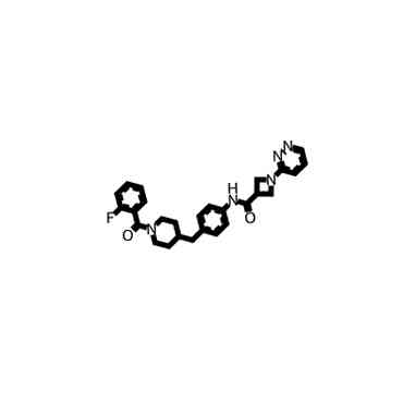 O=C(Nc1ccc(CC2CCN(C(=O)c3ccccc3F)CC2)cc1)C1CN(c2cccnn2)C1